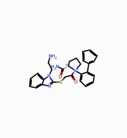 NCCn1c(SCC(=O)[N+]2(c3ccccc3-c3ccccc3)CCC[C@H]2C(N)=O)nc2ccccc21